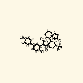 O=C1C=C[C@]2(CCCCC2C2CC(C(F)(F)F)CCC23NC(=O)C(c2cc(-c4ccc(Cl)c(F)c4)ccc2Cl)=C3O)N1